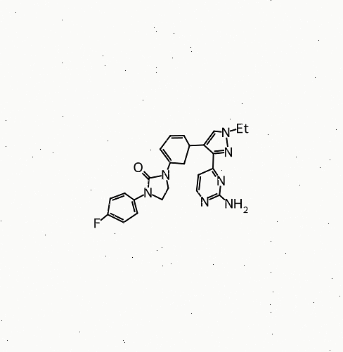 CCn1cc(C2C=CC=C(N3CCN(c4ccc(F)cc4)C3=O)C2)c(-c2ccnc(N)n2)n1